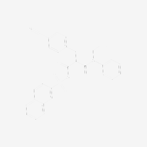 CCN(C(=O)C(Cc1ccc(C#N)cc1)C(=O)NS(=O)(=O)c1ccc2ccccc2c1)c1ccccc1